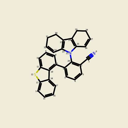 N#Cc1cccc(-c2cccc3sc4ccccc4c23)c1-n1c2c(c3c1C=CCC3)CCC=C2